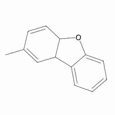 CC1=CC2c3ccccc3OC2C=C1